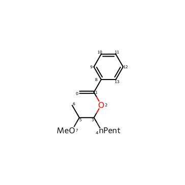 C=C(OC(CCCCC)C(C)OC)c1ccccc1